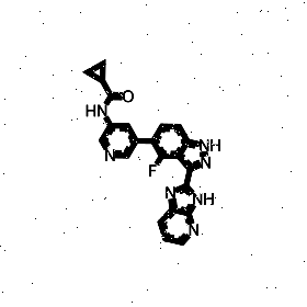 O=C(Nc1cncc(-c2ccc3[nH]nc(-c4nc5cccnc5[nH]4)c3c2F)c1)C1CC1